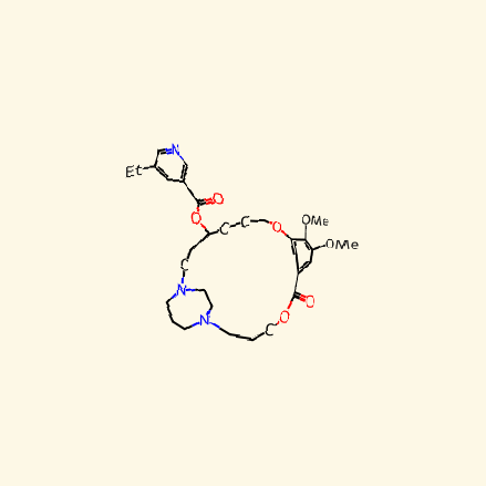 CCc1cncc(C(=O)OC2CCCOc3cc(cc(OC)c3OC)C(=O)OCCCN3CCCN(CC2)CC3)c1